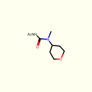 CC(=O)NC(=O)N(C)C1CCOCC1